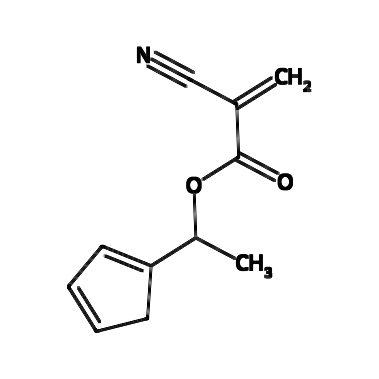 C=C(C#N)C(=O)OC(C)C1=CC=CC1